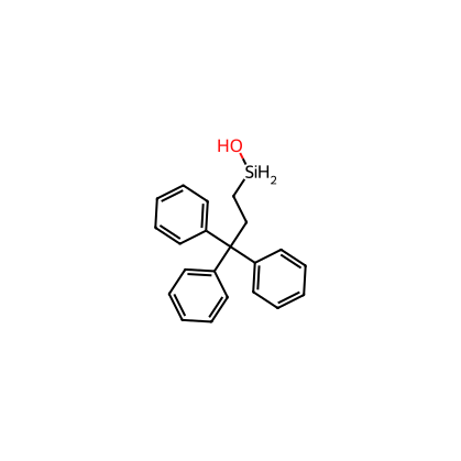 O[SiH2]CCC(c1ccccc1)(c1ccccc1)c1ccccc1